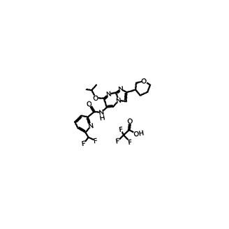 CC(C)Oc1nc2nc(C3CCCOC3)cn2cc1NC(=O)c1cccc(C(F)F)n1.O=C(O)C(F)(F)F